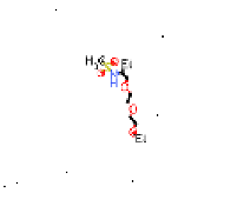 CCOCCOCCOCC(CC)NS(C)(=O)=O